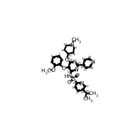 COc1ccccc1Oc1c(NS(=O)(=O)c2ccc(C(C)C)cn2)nc(-c2ccncc2)nc1OC1CCN(C)CC1